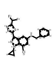 FC(F)c1nnc(-c2nn(C3CC3)c3c(Cl)cc(SCc4ccccc4)cc23)s1